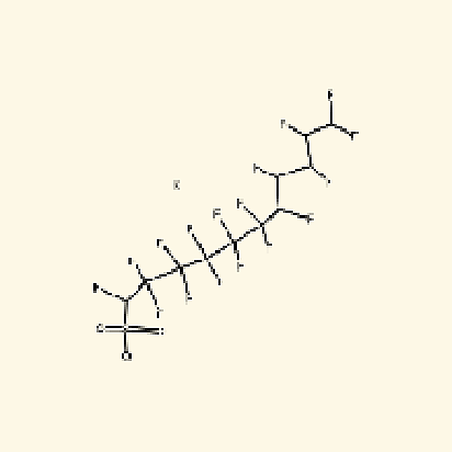 O=S(=O)([O-])C(F)C(F)(F)C(F)(F)C(F)(F)C(F)(F)C(F)(F)C(F)C(F)C(F)C(F)C(F)F.[K+]